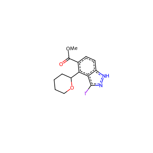 COC(=O)c1ccc2[nH]nc(I)c2c1C1CCCCO1